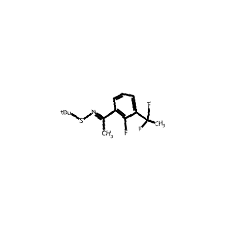 C/C(=N\SC(C)(C)C)c1cccc(C(C)(F)F)c1F